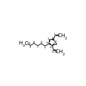 C=Cc1cc(CCCCCC)c(C=C)s1